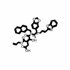 C=CCOC(=O)C(CC(=O)O)=C(O)C(=O)N(Cc1ccc2ccccc2c1)[C@H](C)[C@H](CC=Cc1nc2ccccc2o1)c1ccc2c(c1)OCO2